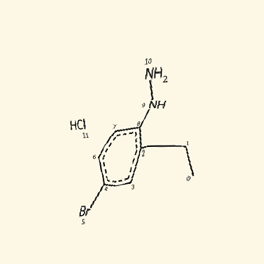 CCc1cc(Br)ccc1NN.Cl